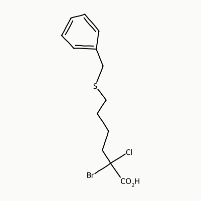 O=C(O)C(Cl)(Br)CCCCSCc1ccccc1